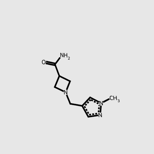 Cn1cc(CN2CC(C(N)=O)C2)cn1